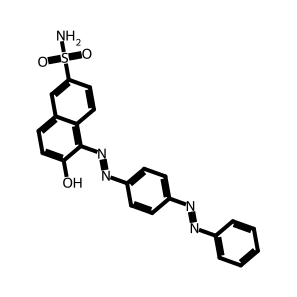 NS(=O)(=O)c1ccc2c(N=Nc3ccc(N=Nc4ccccc4)cc3)c(O)ccc2c1